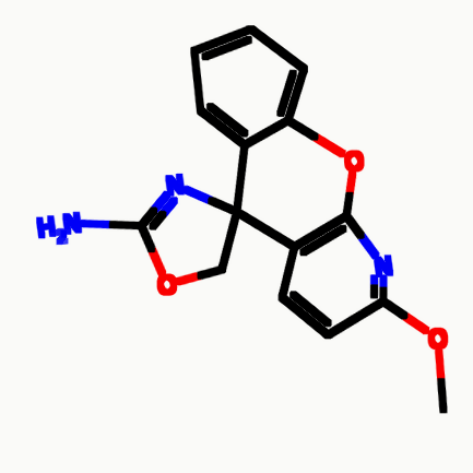 COc1ccc2c(n1)Oc1ccccc1C21COC(N)=N1